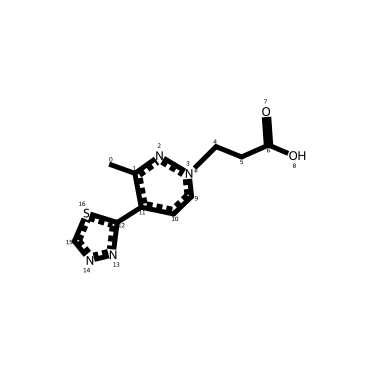 Cc1n[n+](CCC(=O)O)ccc1-c1nncs1